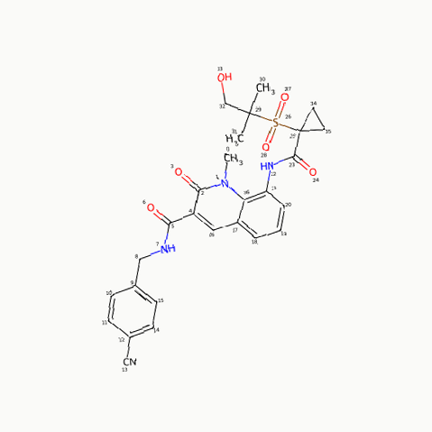 Cn1c(=O)c(C(=O)NCc2ccc(C#N)cc2)cc2cccc(NC(=O)C3(S(=O)(=O)C(C)(C)CO)CC3)c21